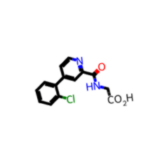 O=C(O)CNC(=O)c1cc(-c2ccccc2Cl)ccn1